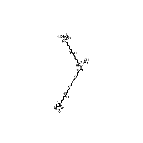 CC(C)(C)OC(=O)NCCCCCC(=O)NCCCCCC(=O)N[C@@H](CCC(=O)O)C(=O)NCCCOCCOCCOCCCNC(=O)CCCC[C@@H]1SC[C@@H]2NC(=O)N[C@@H]21